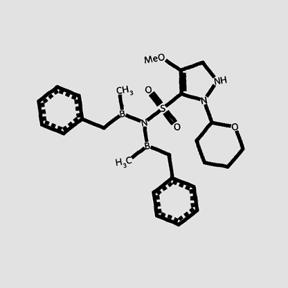 COC1=C(S(=O)(=O)N(B(C)Cc2ccccc2)B(C)Cc2ccccc2)N(C2CCCCO2)NC1